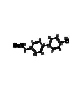 CNCc1ccc(-c2ccc(Cl)cc2)cc1